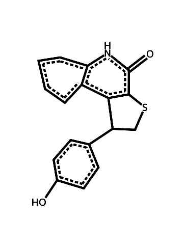 O=c1[nH]c2ccccc2c2c1SCC2c1ccc(O)cc1